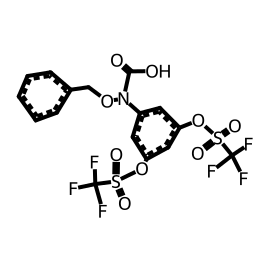 O=C(O)N(OCc1ccccc1)c1cc(OS(=O)(=O)C(F)(F)F)cc(OS(=O)(=O)C(F)(F)F)c1